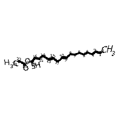 CCCCCCCCCCCCCCCCCC(S)OC(=O)CC